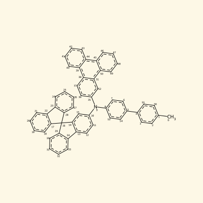 Cc1ccc(-c2ccc(N(c3ccc4c(c3)C3(c5ccccc5-c5ccccc53)c3ccccc3-4)c3ccc4c5ccccc5c5ccccc5c4c3)cc2)cc1